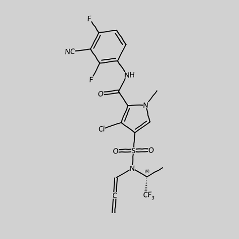 C=C=CN([C@H](C)C(F)(F)F)S(=O)(=O)c1cn(C)c(C(=O)Nc2ccc(F)c(C#N)c2F)c1Cl